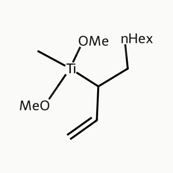 C=C[CH](CCCCCCC)[Ti]([CH3])([O]C)[O]C